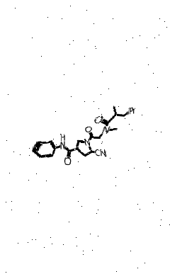 CC(C)CC(C)C(=O)N(C)CC(=O)N1CC(C(=O)Nc2ccccc2)CC1C#N